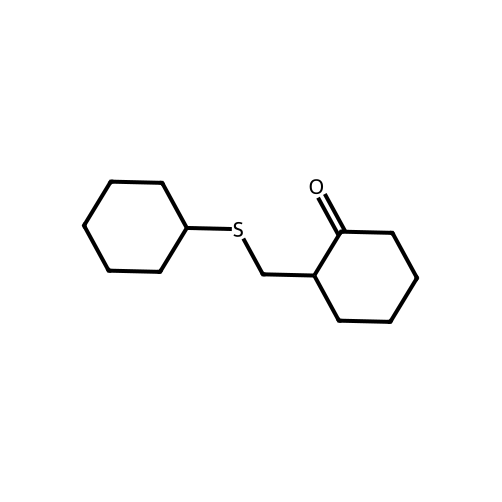 O=C1CCCCC1CSC1CCCCC1